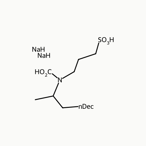 CCCCCCCCCCCC(C)N(CCCS(=O)(=O)O)C(=O)O.[NaH].[NaH]